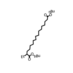 CCCCOC(=O)CCCCCCCCCCCCCCC(CC)C(=O)OCCCC